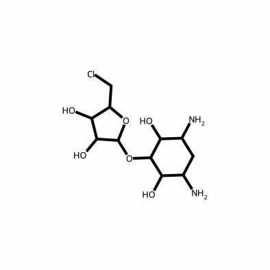 NC1CC(N)C(O)C(OC2OC(CCl)C(O)C2O)C1O